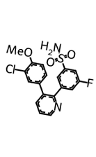 COc1ccc(-c2cccnc2-c2cc(F)cc(S(N)(=O)=O)c2)cc1Cl